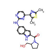 Cc1nc(-c2ccnc(Nc3ccc4[nH]c(C(=O)N5CCCC5CO)cc4c3)n2)c(C)s1